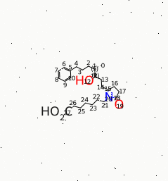 C[C@@H](CCCc1ccccc1)[C@H](O)CCC1CCC(=O)N1CCCCCCC(=O)O